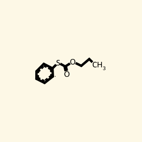 CCCOC(=O)Sc1[c]cccc1